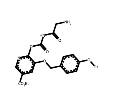 CCOC(=O)c1cnc(OC(=O)NC(=O)CN)c(OCc2ccc(OCC)cc2)c1